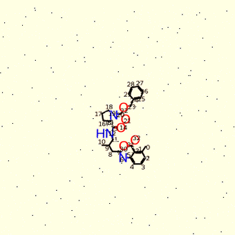 Cc1cccc2nc(CC(C)CNC(=O)[C@@H]3CCCN3C(=O)OCc3ccccc3)oc(=O)c12